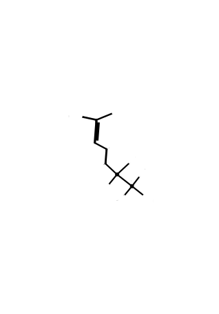 CC(=CCCC(F)(F)C(F)(F)C(F)(F)F)C(=O)O